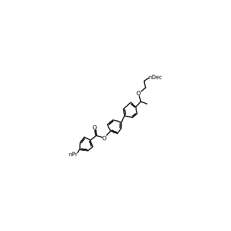 CCCCCCCCCCCCOC(C)c1ccc(-c2ccc(OC(=O)c3ccc(CCC)cc3)cc2)cc1